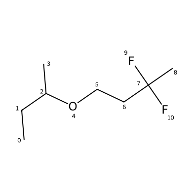 CCC(C)OCCC(C)(F)F